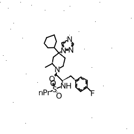 CCCS(=O)(=O)N[C@H](Cc1ccc(F)cc1)C(=O)N1CCC(C2CCCCC2)(n2cncn2)CC1C